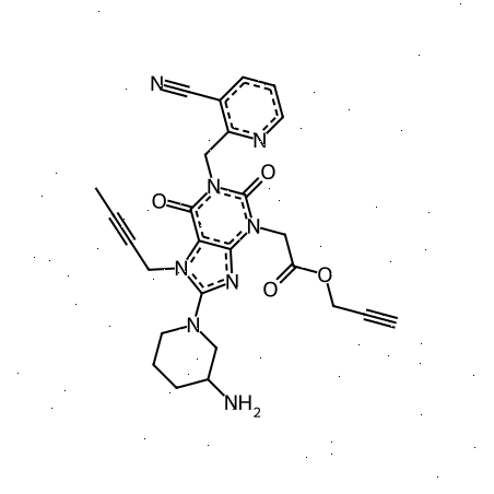 C#CCOC(=O)Cn1c(=O)n(Cc2ncccc2C#N)c(=O)c2c1nc(N1CCCC(N)C1)n2CC#CC